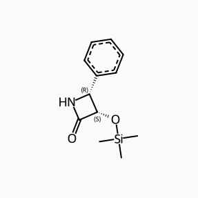 C[Si](C)(C)O[C@@H]1C(=O)N[C@@H]1c1ccccc1